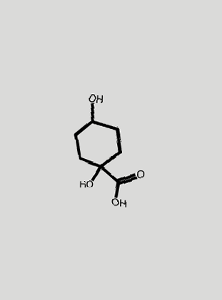 O=C(O)C1(O)CCC(O)CC1